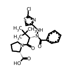 CC(C)(C)[C@@H](C(=O)N1CCC[C@H]1C(=O)O)N(Nc1csc(Cl)n1)C(=O)c1ccccc1